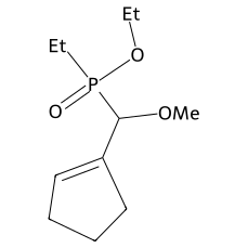 CCOP(=O)(CC)C(OC)C1=CCCC1